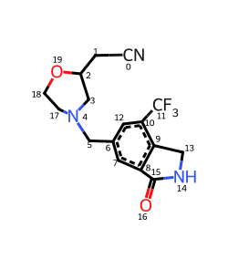 N#CCC1CN(Cc2cc3c(c(C(F)(F)F)c2)CNC3=O)CCO1